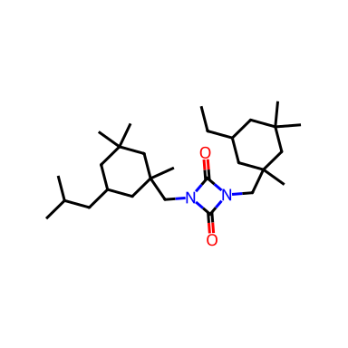 CCC1CC(C)(C)CC(C)(CN2C(=O)N(CC3(C)CC(CC(C)C)CC(C)(C)C3)C2=O)C1